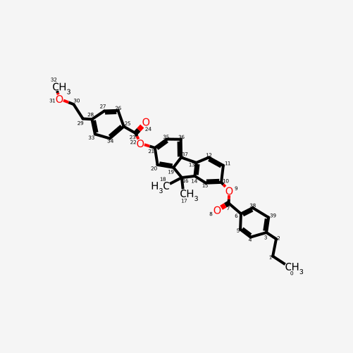 CCCc1ccc(C(=O)Oc2ccc3c(c2)C(C)(C)c2cc(OC(=O)c4ccc(CCOC)cc4)ccc2-3)cc1